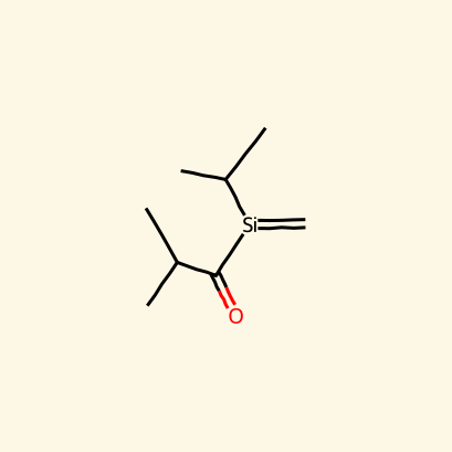 C=[Si](C(=O)C(C)C)C(C)C